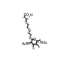 CC(=O)NC1C(OCCOCCOCCC(=O)O)OC(COC(C)=O)C(C)C1C